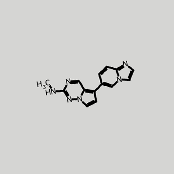 CNc1ncc2c(-c3ccc4nccn4c3)ccn2n1